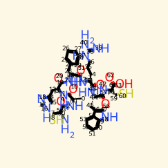 C[C@@H](NC(=O)[C@@H](N)CS)C(=O)N[C@@H](Cc1c[nH]cn1)C(=O)N[C@H](Cc1ccccc1)C(=O)N[C@@H](CCCNC(=N)N)C(=O)N[C@@H](Cc1c[nH]c2ccccc12)C(=O)N[C@@H](CS)C(=O)O